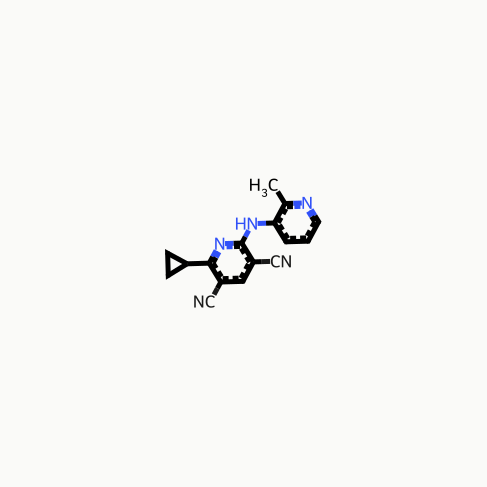 Cc1ncccc1Nc1nc(C2CC2)c(C#N)cc1C#N